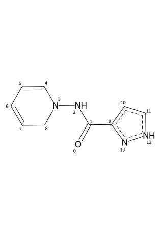 O=C(NN1C=CC=CC1)c1cc[nH]n1